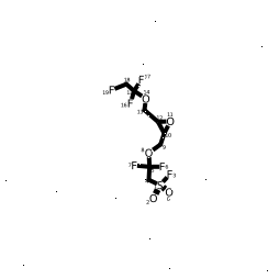 O=S(=O)(F)CC(F)(F)OCC1OC1COC(F)(F)CF